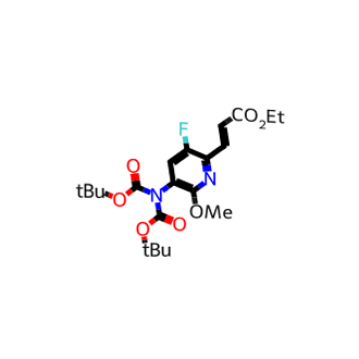 CCOC(=O)/C=C/c1nc(OC)c(N(C(=O)OC(C)(C)C)C(=O)OC(C)(C)C)cc1F